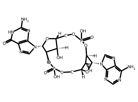 Nc1nc2c(ncn2[C@@H]2O[C@@H]3COP(=O)(O)O[C@@H]4[C@H](F)[C@@H](COP(=O)(O)O[C@@H]2[C@@H]3O)O[C@H]4n2cnc3c(N)ncnc32)c(=O)[nH]1